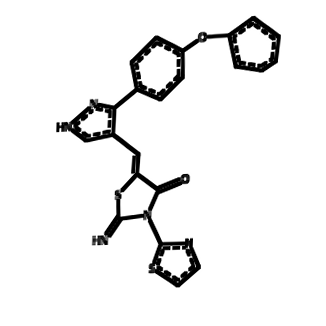 N=C1S/C(=C\c2c[nH]nc2-c2ccc(Oc3ccccc3)cc2)C(=O)N1c1nccs1